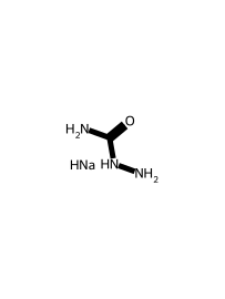 NNC(N)=O.[NaH]